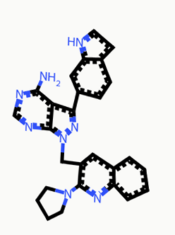 Nc1ncnc2c1c(-c1ccc3cc[nH]c3c1)nn2Cc1cc2ccccc2nc1N1CCCC1